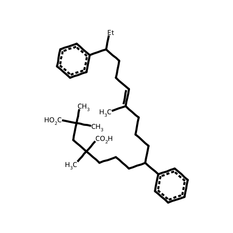 CCC(CC/C=C(\C)CCCC(CCCC(C)(CC(C)(C)C(=O)O)C(=O)O)c1ccccc1)c1ccccc1